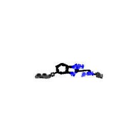 COc1ccc2[nH]c(CNC(C)(C)C)nc2c1